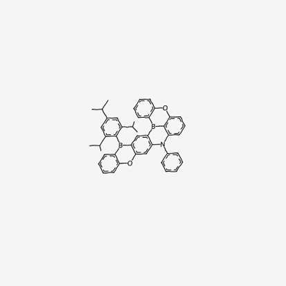 CC(C)c1cc(C(C)C)c(B2c3ccccc3Oc3cc4c(cc32)B2c3ccccc3Oc3cccc(c32)N4c2ccccc2)c(C(C)C)c1